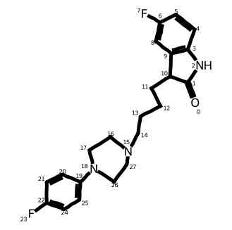 O=C1Nc2ccc(F)cc2C1CCCCN1CCN(c2ccc(F)cc2)CC1